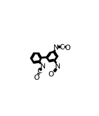 O=C=Nc1cc(N=C=O)cc(-c2ccccc2N=C=O)c1